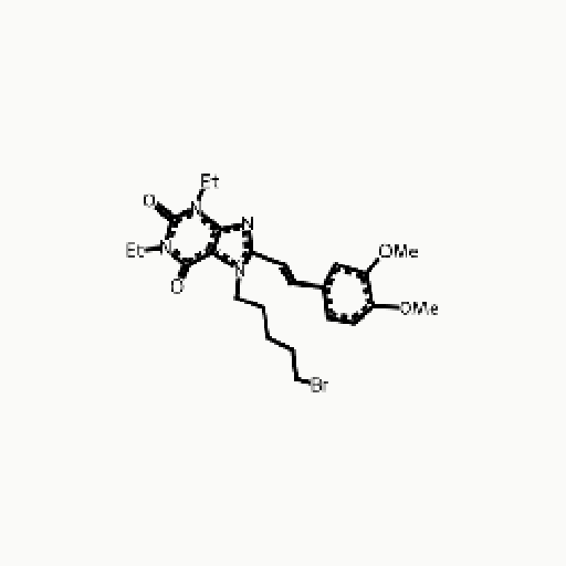 CCn1c(=O)c2c(nc(C=Cc3ccc(OC)c(OC)c3)n2CCCCCBr)n(CC)c1=O